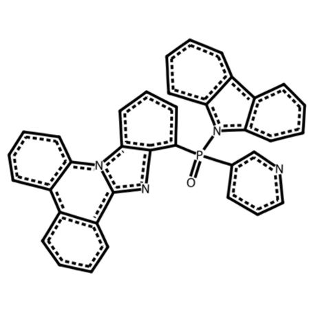 O=P(c1cccnc1)(c1cccc2c1nc1c3ccccc3c3ccccc3n21)n1c2ccccc2c2ccccc21